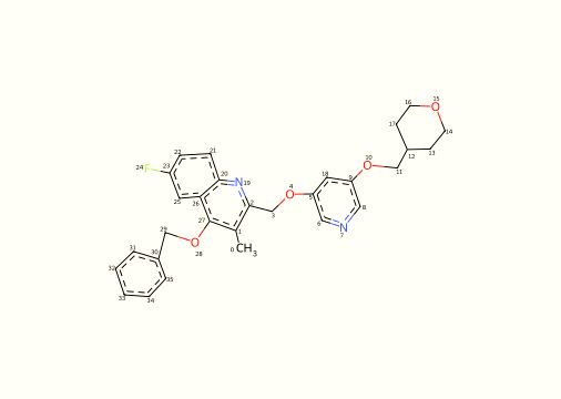 Cc1c(COc2cncc(OCC3CCOCC3)c2)nc2ccc(F)cc2c1OCc1ccccc1